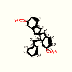 Oc1ccc2c(c1)CC1(C2)Cc2ccc(O)cc2C1=Cc1ccccc1